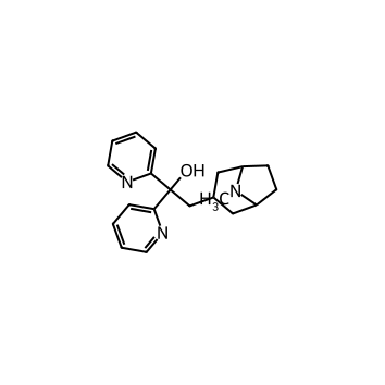 CN1C2CCC1CC(CC(O)(c1ccccn1)c1ccccn1)C2